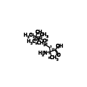 CC(N)(CCO[Si](C)(C)C(C)(C)C)C(=O)O